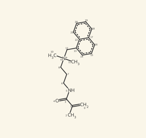 C=C(C)C(=O)NCCC[N+](C)(C)Cc1cccc2ccccc12